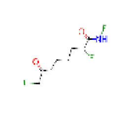 O=C(CF)CCCCC(F)C(=O)NF